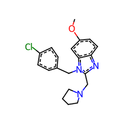 COc1ccc2nc(CN3CCCC3)n(Cc3ccc(Cl)cc3)c2c1